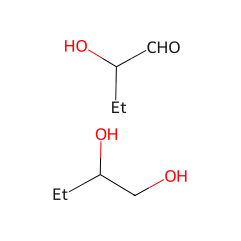 CCC(O)C=O.CCC(O)CO